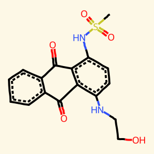 CS(=O)(=O)Nc1ccc(NCCO)c2c1C(=O)c1ccccc1C2=O